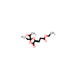 CCOC(=O)C/C=C1\OC(CC)(C(C)=O)OC1=O